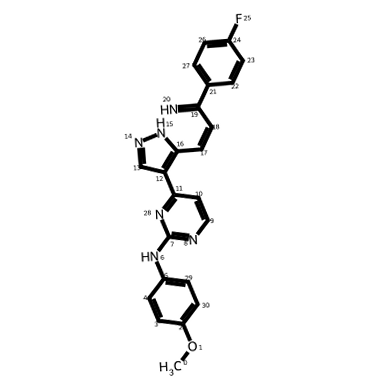 COc1ccc(Nc2nccc(-c3cn[nH]c3/C=C\C(=N)c3ccc(F)cc3)n2)cc1